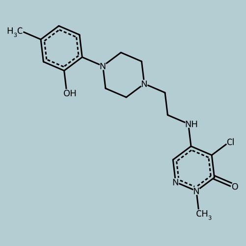 Cc1ccc(N2CCN(CCNc3cnn(C)c(=O)c3Cl)CC2)c(O)c1